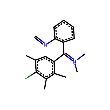 C=Nc1ccccc1C(c1cc(C)c(F)c(C)c1C)=[N+](C)C